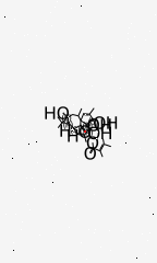 CC1=CC23C(=O)[C@@H](C=C(COC(=O)C(C)=C(C)C)[C@@H](O)[C@]2(O)[C@H]1O)[C@@H]1C(C)(C)[C@]1(O)CC3C